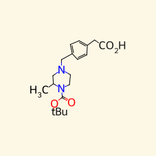 CC1CN(Cc2ccc(CC(=O)O)cc2)CCN1C(=O)OC(C)(C)C